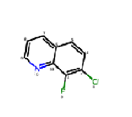 Fc1c(Cl)[c]cc2cccnc12